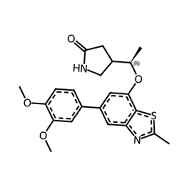 COc1ccc(-c2cc(O[C@H](C)C3CNC(=O)C3)c3sc(C)nc3c2)cc1OC